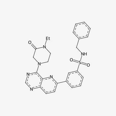 CCN1CCN(c2ncnc3ccc(-c4cccc(S(=O)(=O)NCc5ccccc5)c4)nc23)CC1=O